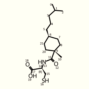 CC(C)CCC[C@H]1CC[C@](C)(C(=O)N[C@@H](CS)C(=O)O)CC1